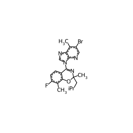 Cc1c(F)ccc2c1OC(C)(CC(C)C)N=C2n1cnc2c(C)c(Br)cnc21